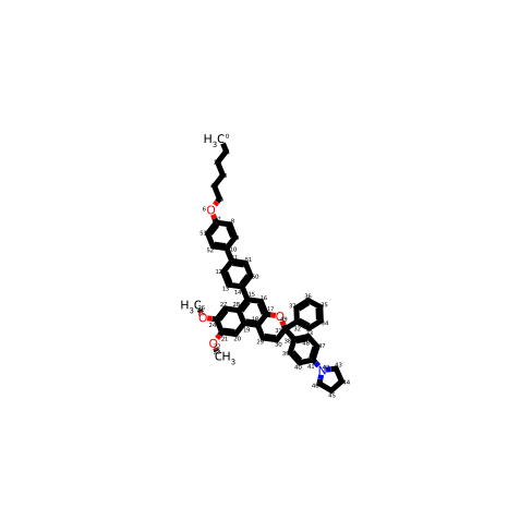 CCCCCCOc1ccc(-c2ccc(-c3cc4c(c5cc(OC)c(OC)cc35)C=CC(c3ccccc3)(c3ccc(N5CCCC5)cc3)O4)cc2)cc1